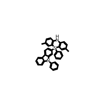 Cc1ccc2c(c1)[Si](c1ccccc1)(c1ccc3c4ccccc4n(-c4ccccc4)c3c1)c1cc(C)ccc1N2